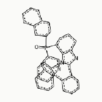 O=P(c1ccc2ccccc2c1)(c1cnc2ccccc2c1)c1cccc2nc3c4ccccc4c4ccccc4n3c12